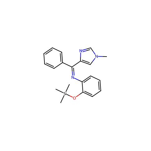 Cn1cnc(C(=Nc2ccccc2O[Si](C)(C)C)c2ccccc2)c1